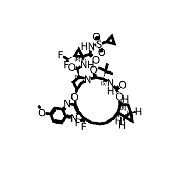 COc1ccc2nc3c(nc2c1)OC1C[C@@H](C(=O)N[C@]2(C(=O)NS(=O)(=O)C4CC4)C[C@H]2C(F)F)N(C1)C(=O)[C@H](C(C)(C)C)NC(=O)O[C@@H]1C[C@@H]2C[C@@H]2[C@H]1CCCCC3(F)F